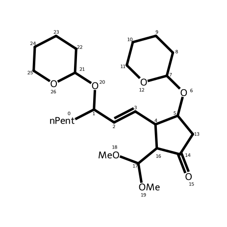 CCCCCC(C=CC1C(OC2CCCCO2)CC(=O)C1C(OC)OC)OC1CCCCO1